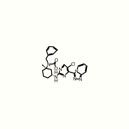 C[C@]1(N(Cc2ccccc2)C(=O)O)CCC[C@@H](Nc2ncc(Cl)c(-c3nnc4ccccn34)n2)C1